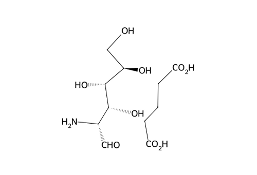 N[C@@H](C=O)[C@@H](O)[C@H](O)[C@H](O)CO.O=C(O)CCCC(=O)O